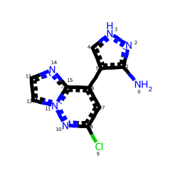 Nc1n[nH]cc1-c1cc(Cl)nn2ccnc12